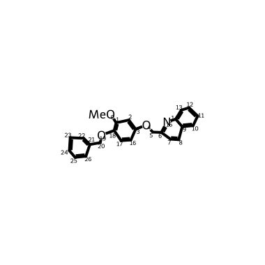 COc1cc(OCc2ccc3ccccc3n2)ccc1OCc1c[c]ccc1